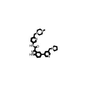 CN1CCN(Cc2ccc(NC(=O)c3n[nH]c4ccc(-c5cncc(CN6CCCC6)c5)cc34)cn2)CC1